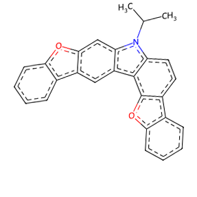 CC(C)n1c2cc3oc4ccccc4c3cc2c2c3oc4ccccc4c3ccc21